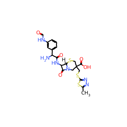 Cc1nnc(SCC2(C(=O)O)CS[C@@H]3C(NC(=O)C(N)c4cccc(NC=O)c4)C(=O)N3C2)s1